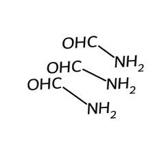 NC=O.NC=O.NC=O